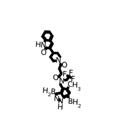 Bc1cc(C)c(CN(CC(F)(F)F)C(=O)CCC(=O)N2CCC(c3cc4ccccc4[nH]c3=O)CC2)c2c(B)n[nH]c12